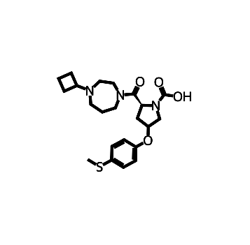 CSc1ccc(OC2C[C@@H](C(=O)N3CCCN(C4CCC4)CC3)N(C(=O)O)C2)cc1